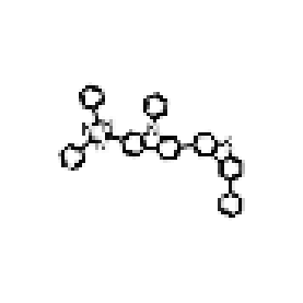 C1=CCC(c2ccc3sc4ccc(C5=CCC6C(=C5)N(c5ccccc5)c5cc(-c7nc(-c8ccccc8)nc(-c8ccccc8)n7)ccc56)cc4c3c2)C=C1